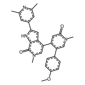 COc1ccc(-c2cn(C)c(=O)cc2-c2cn(C)c(=O)c3[nH]c(-c4cc(C)nc(C)c4)cc23)cc1